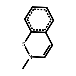 CN1C=Cc2ccccc2S1